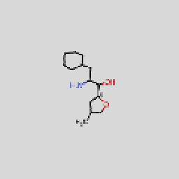 CC1CO[C@H](C(O)C(N)CC2CCCCC2)C1